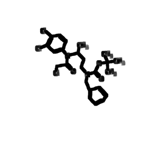 CC(CCN(Cc1ccccc1)C(=O)OC(C)(C)C)N(C(=O)CCl)c1ccc(Cl)c(Cl)c1